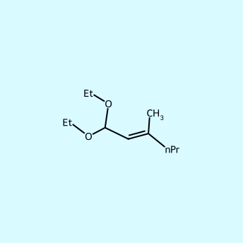 CCCC(C)=CC(OCC)OCC